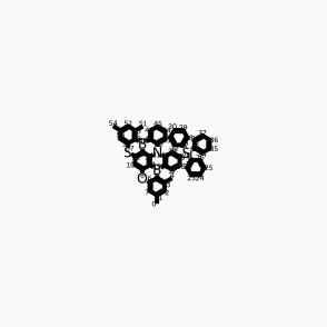 Cc1cc(C)c2c(c1)Oc1cc3c4c5c1B2c1ccc([Si](c2ccccc2)(c2ccccc2)c2ccccc2)cc1N5c1ccccc1B4c1c(C)cc(C)cc1S3